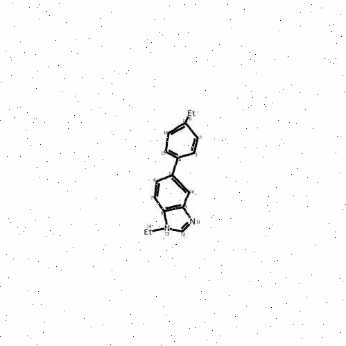 CCc1ccc(-c2ccc3c(c2)ncn3CC)cc1